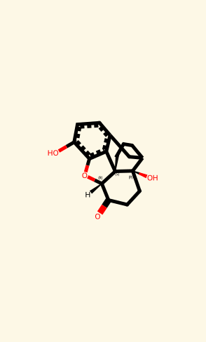 O=C1CC[C@@]2(O)C3CCC[C@@]24c2c(ccc(O)c2O[C@@H]14)C3